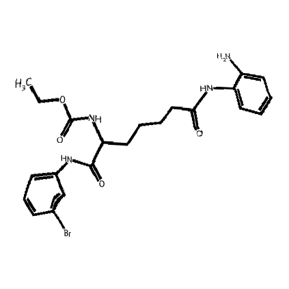 CCOC(=O)NC(CCCCC(=O)Nc1ccccc1N)C(=O)Nc1cccc(Br)c1